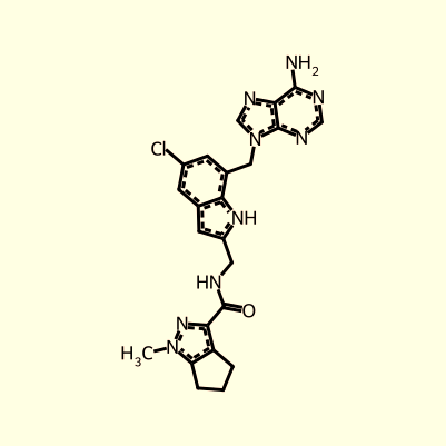 Cn1nc(C(=O)NCc2cc3cc(Cl)cc(Cn4cnc5c(N)ncnc54)c3[nH]2)c2c1CCC2